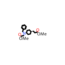 COC(=O)CC[C@H]1CC[C@H](N(CC(=O)OC)Cc2ccccc2)CC1